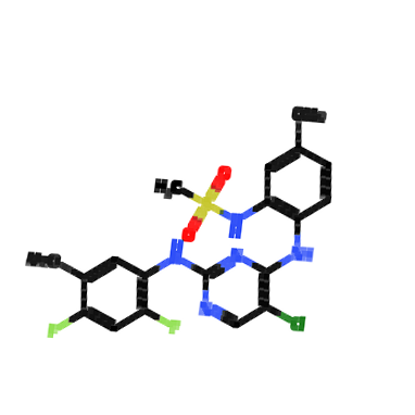 COc1ccc(Nc2nc(Nc3cc(OC)c(F)cc3F)ncc2Cl)c(NS(C)(=O)=O)c1